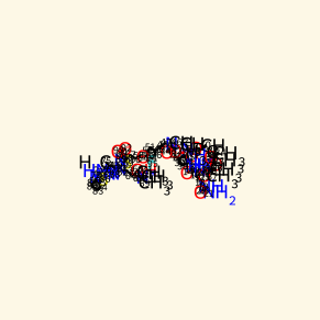 C#CCOC(=O)N(C)Cc1cc(NC(=O)[C@H](CCCNC(N)=O)NC(=O)[C@@H](NC(=O)OC(C)(C)C)C(C)C)ccc1COC(=O)N(C)CC#Cc1ccc(OCCCc2sc(N(CCCC(O)C[N+](C)(C)C)c3cc(C)c(Nc4nc5ccccc5s4)nn3)nc2C(=O)[O-])c(F)c1